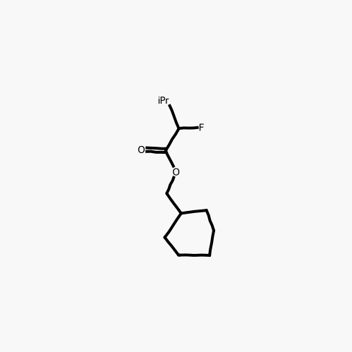 CC(C)C(F)C(=O)OCC1CCCCC1